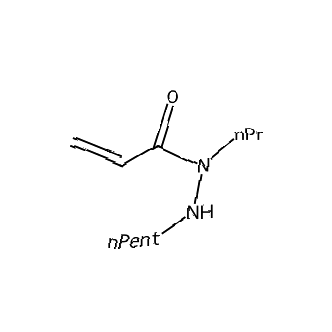 C=CC(=O)N(CCC)NCCCCC